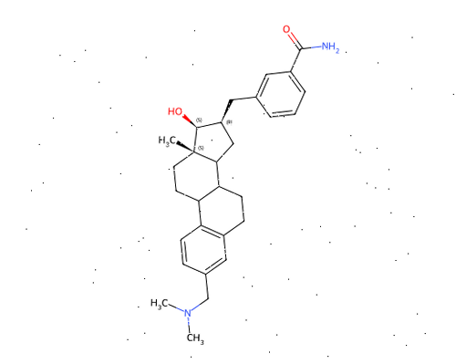 CN(C)Cc1ccc2c(c1)CCC1C2CC[C@@]2(C)C1C[C@H](Cc1cccc(C(N)=O)c1)[C@@H]2O